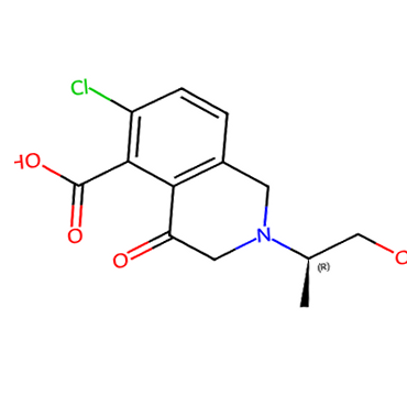 C[C@H](CO)N1CC(=O)c2c(ccc(Cl)c2C(=O)O)C1